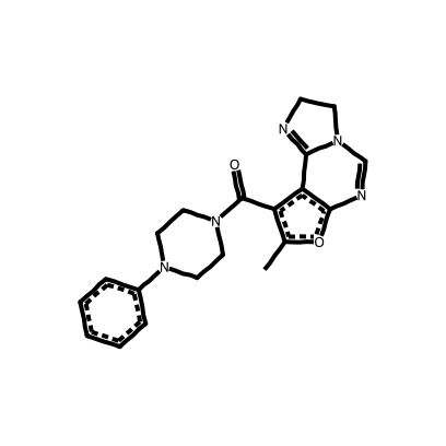 Cc1oc2c(c1C(=O)N1CCN(c3ccccc3)CC1)C1=NCCN1C=N2